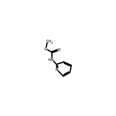 COC(=O)Nc1[c]cccn1